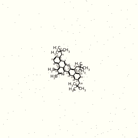 Bc1nc2c3c(cc4c(CC(C)(C)C)cccc4c3c1B)Sc1c-2cc2cc(CC(C)(C)C)ccc2c1CC(C)(C)C